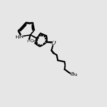 CCCCCCCCC1(c2ccc(OCCCCCC(C)CC)cc2)C=CC=CN1